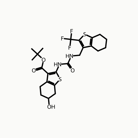 CC(C)(C)OC(=O)c1c(NC(=O)NCc2c(C(F)(F)F)sc3c2CCCC3)sc2c1CCC(O)C2